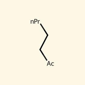 [CH2]CCCCC(C)=O